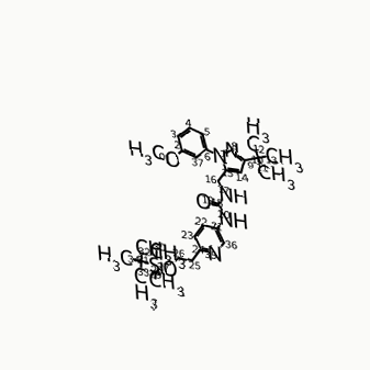 COc1cccc(-n2nc(C(C)(C)C)cc2CNC(=O)Nc2ccc(CCO[Si](C)(C)C(C)(C)C)nc2)c1